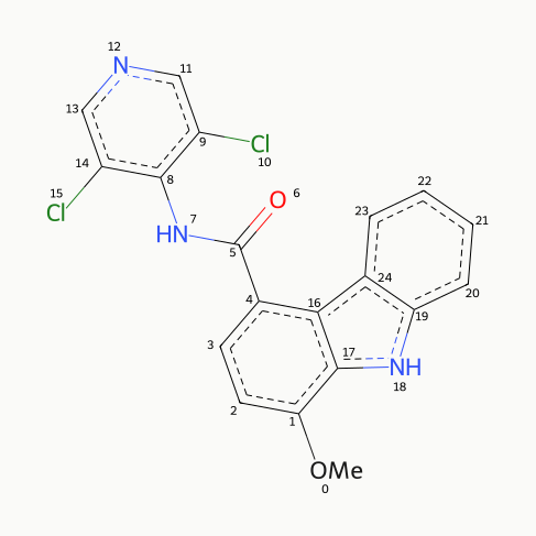 COc1ccc(C(=O)Nc2c(Cl)cncc2Cl)c2c1[nH]c1ccccc12